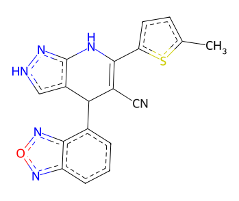 Cc1ccc(C2=C(C#N)C(c3cccc4nonc34)c3c[nH]nc3N2)s1